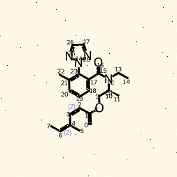 C=C(/C=C\C(C)=C/C)OC[C@H](C)N(CC)C(=O)c1cccc(C)c1-n1nccn1